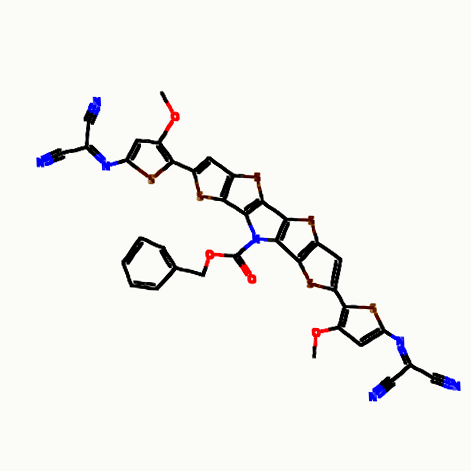 COc1cc(N=C(C#N)C#N)sc1-c1cc2sc3c4sc5cc(-c6sc(N=C(C#N)C#N)cc6OC)sc5c4n(C(=O)OCc4ccccc4)c3c2s1